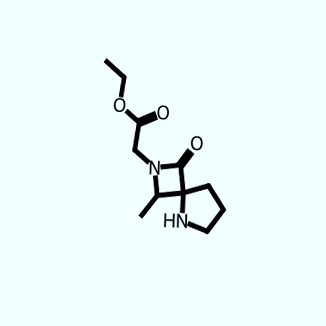 CCOC(=O)CN1C(=O)C2(CCCN2)C1C